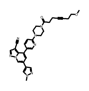 COCCC#CCCC(=O)N1CCN(c2ccc(-c3cc(-c4cnn(C)c4)cn4ncc(C#N)c34)cn2)CC1